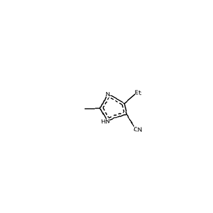 CCc1nc(C)[nH]c1C#N